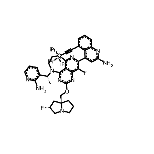 CC(C)[Si](C#Cc1cccc2nc(N)cc(-c3nc4c5c(nc(OC[C@@]67CCCN6C[C@H](F)C7)nc5c3F)N([C@H](C)c3cccnc3N)CCO4)c12)(C(C)C)C(C)C